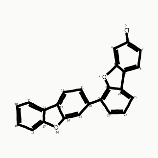 Clc1ccc2c(c1)oc1c(-c3ccc4c(c3)oc3ccccc34)cccc12